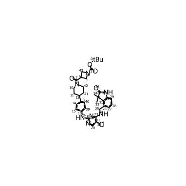 CC(C)(C)OC(=O)N1CC(C(=O)N2CCC(c3ccc(Nc4ncc(Cl)c(NCc5cccc6c5C(C)(C)C(=O)N6)n4)cc3)CC2)C1